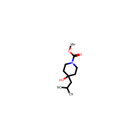 CC(C)(C)OC(=O)N1CCC(O)(CC(C#N)C#N)CC1